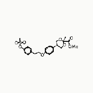 COC(=O)[C@]1(C)OC[C@@H](c2ccc(OCCc3ccc(OS(C)(=O)=O)cc3)cc2)CO1